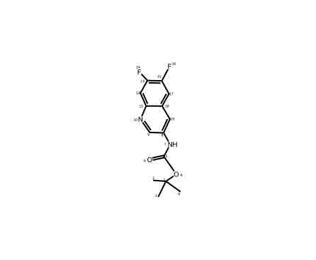 CC(C)(C)OC(=O)Nc1cnc2cc(F)c(F)cc2c1